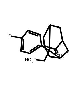 C=C1C2CC3CC1CC(C2)C3(CC(=O)O)c1ccc(F)cc1